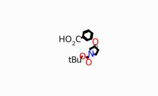 CC(C)(C)OC(=O)N1CC[C@@H](Oc2cccc(C(=O)O)c2)C1